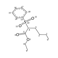 CCCCC(C(=O)OCC)S(=O)(=O)c1ccccc1